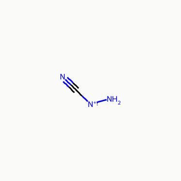 N#C[N+]N